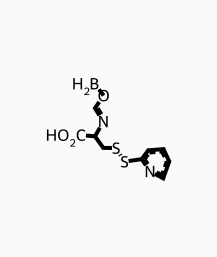 BOC=NC(CSSc1ccccn1)C(=O)O